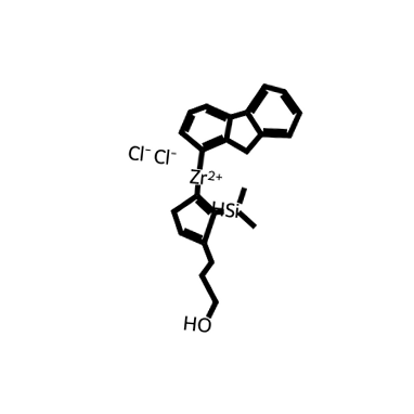 C[SiH](C)C1=[C]([Zr+2][c]2cccc3c2Cc2ccccc2-3)CC=C1CCCO.[Cl-].[Cl-]